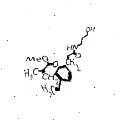 C=C(C)C(=O)OC.C=CC(=O)NCCCO.C=Cc1ccccc1